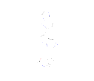 CC(=O)NC1(C)CC(Nc2ncc3c(-c4ccc5nccn5n4)c[nH]c3n2)C1